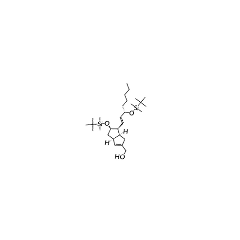 CCCCC[C@@H](/C=C/[C@H]1[C@H]2CC(CO)=C[C@H]2C[C@H]1O[Si](C)(C)C(C)(C)C)O[Si](C)(C)C(C)(C)C